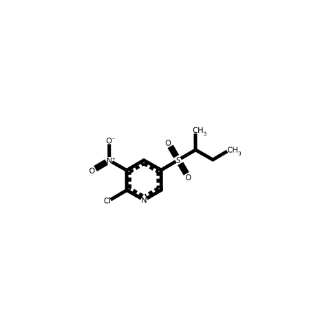 CCC(C)S(=O)(=O)c1cnc(Cl)c([N+](=O)[O-])c1